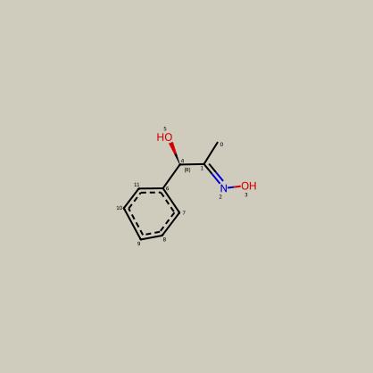 CC(=NO)[C@H](O)c1ccccc1